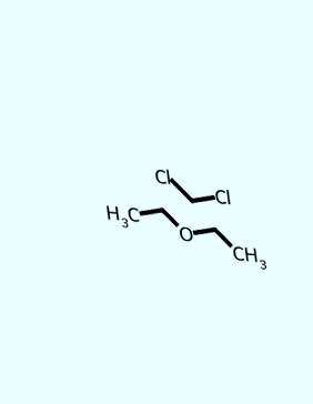 CCOCC.ClCCl